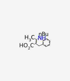 CCCCNC(C)=C(Cc1ccccc1)C(=O)O